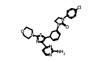 Nc1nccc(-c2nc(N3CCOCC3)sc2C2C=CC=C(N3CCN(c4ccc(Cl)cc4)C3=O)C2)n1